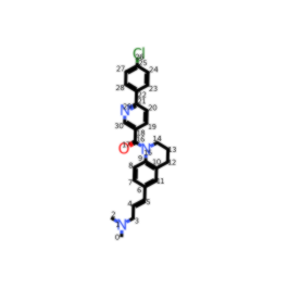 CN(C)CC=Cc1ccc2c(c1)CCCN2C(=O)c1ccc(-c2ccc(Cl)cc2)nc1